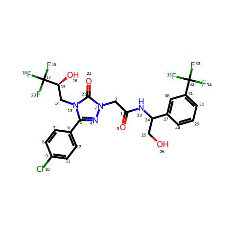 O=C(Cn1nc(-c2ccc(Cl)cc2)n(C[C@H](O)C(F)(F)F)c1=O)NC(CO)c1cccc(C(F)(F)F)c1